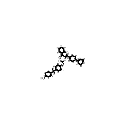 CC(C)(c1ccc(O)cc1)c1ccc(OC(=O)Oc2c(-c3ccc(-c4ccccc4)cc3)oc3ccccc3c2=O)cc1